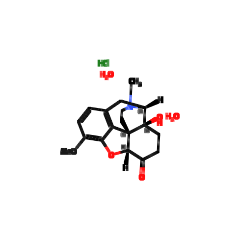 COc1ccc2c3c1O[C@H]1C(=O)CC[C@@]4(O)[C@@H](C2)N(C)CC[C@]314.Cl.O.O